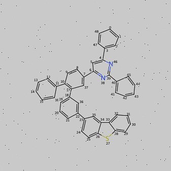 c1ccc(-c2cc(-c3ccc(-c4ccccc4)c(-c4cccc(-c5ccc6sc7ccccc7c6c5)c4)c3)nc(-c3ccccc3)n2)cc1